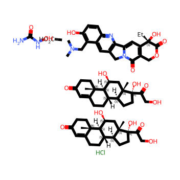 CC(=O)O.CC[C@@]1(O)C(=O)OCc2c1cc1n(c2=O)Cc2cc3c(CN(C)C)c(O)ccc3nc2-1.C[C@]12CCC(=O)C=C1CC[C@@H]1[C@@H]2[C@@H](O)C[C@@]2(C)[C@H]1CC[C@]2(O)C(=O)CO.C[C@]12CCC(=O)C=C1CC[C@@H]1[C@@H]2[C@@H](O)C[C@@]2(C)[C@H]1CC[C@]2(O)C(=O)CO.Cl.NC(=O)NO